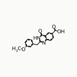 COc1cccc(Cc2nc3ccc(C(=O)O)cc3c(=O)[nH]2)c1